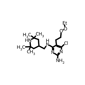 CCOOCCc1c(Cl)nc(N)nc1NCC1CC(C)(C)NC(C)(C)C1